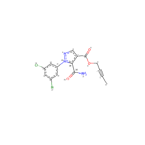 CC#CCOC(=O)c1cnn(-c2cc(Cl)cc(Br)c2)c1C(N)=O